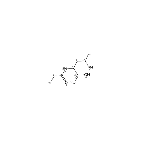 CCC(=O)NC(CC(C)S)C(=O)O